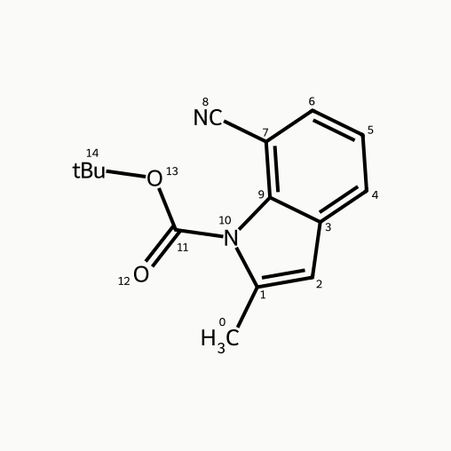 Cc1cc2cccc(C#N)c2n1C(=O)OC(C)(C)C